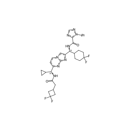 CC(C)n1ncnc1C(=O)N[C@H](c1cn2ccc([C@@H](NC(=O)CC3CC(F)(F)C3)C3CC3)nc2n1)C1CCC(F)(F)CC1